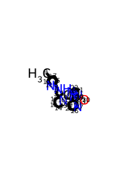 CCC1(CNc2ccc(C)cn2)CCCCN1C[C@]1(n2nccn2)C=CC=N[C@@H]1C=O